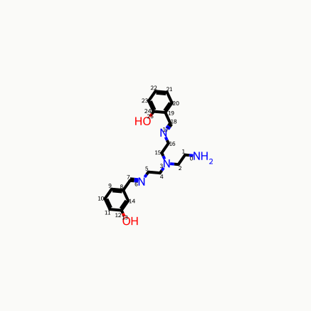 NCCN(CC/N=C/c1cccc(O)c1)CC/N=C/c1ccccc1O